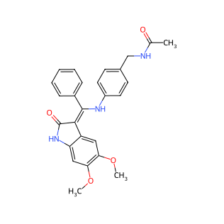 COc1cc2c(cc1OC)C(=C(Nc1ccc(CNC(C)=O)cc1)c1ccccc1)C(=O)N2